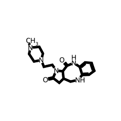 CN1CCN(CCN2C(=O)CC3CNc4ccccc4NC(=O)C32)CC1